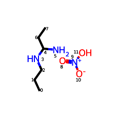 CCCNC(N)CC.O=[N+]([O-])O